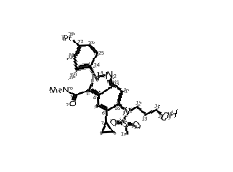 CNC(=O)c1c2cc(C3CC3)c(N(CCCO)S(C)(=O)=O)cc2nn1-c1ccc(C(C)C)cc1